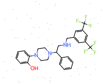 Oc1ccccc1N1CCN(C(CNCc2cc(C(F)(F)F)cc(C(F)(F)F)c2)c2ccccc2)CC1